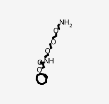 NCCOCCOCCOCCNC(=O)COC1C#CCCCCC1